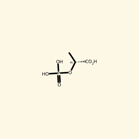 C[C@@H](OP(=O)(O)O)C(=O)O